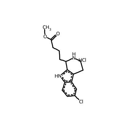 COC(=O)CCCC1NCCc2c1[nH]c1ccc(Cl)cc21.Cl